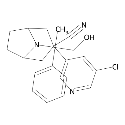 CC(CO)(c1ccccc1)N1C2CCC1CC(C#N)(c1cncc(Cl)c1)C2